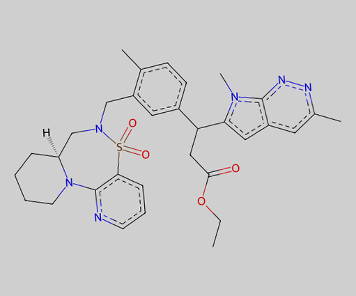 CCOC(=O)CC(c1ccc(C)c(CN2C[C@@H]3CCCCN3c3ncccc3S2(=O)=O)c1)c1cc2cc(C)nnc2n1C